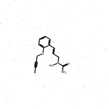 CC#CCSc1ccccc1/C=C/CN(O)C(N)=O